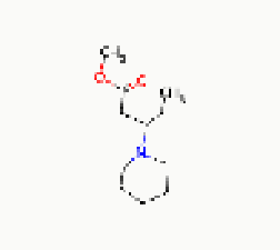 CCC(CC(=O)OC)N1CCCCC1